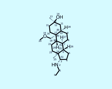 CCN[C@H]1CC[C@H]2[C@@H]3CC[C@@H]4C[C@](C)(O)CC[C@]4(COC)[C@H]3CC[C@]12C